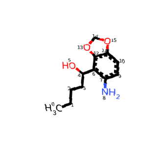 CCCCC(O)c1c(N)ccc2c1OCO2